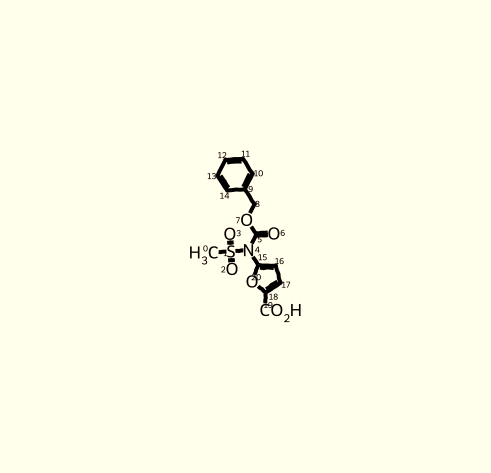 CS(=O)(=O)N(C(=O)OCc1ccccc1)c1ccc(C(=O)O)o1